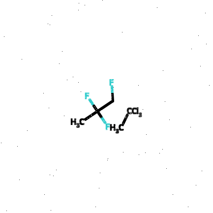 CC(Cl)(Cl)Cl.CC(F)(F)CF